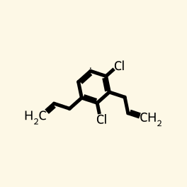 C=CCc1c[c]c(Cl)c(CC=C)c1Cl